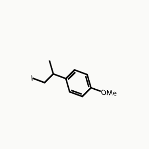 COc1ccc(C(C)CI)cc1